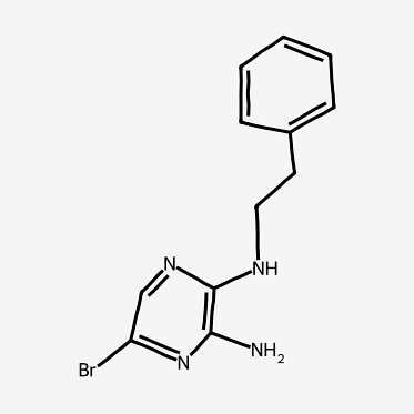 Nc1nc(Br)cnc1NCCc1ccccc1